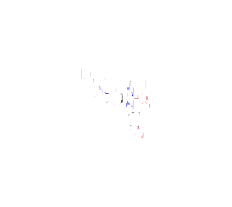 CC[C@H]1CCN(c2ccc3c(c2)n(C)c(=O)n3C2CCC(=O)CC2=O)C1